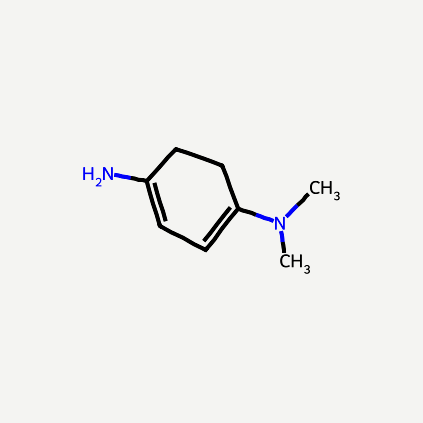 CN(C)C1=CC=C(N)CC1